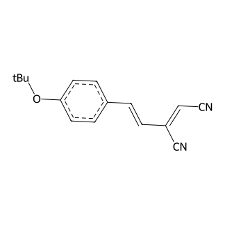 CC(C)(C)Oc1ccc(C=CC(C#N)=CC#N)cc1